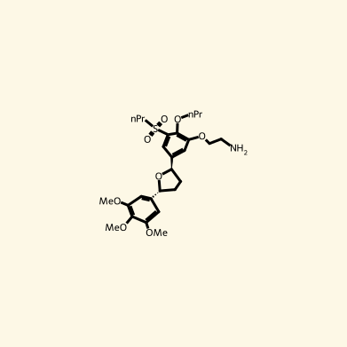 CCCOc1c(OCCN)cc([C@H]2CC[C@H](c3cc(OC)c(OC)c(OC)c3)O2)cc1S(=O)(=O)CCC